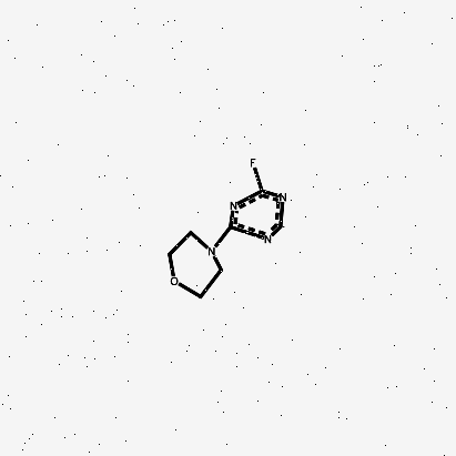 Fc1n[c]nc(N2CCOCC2)n1